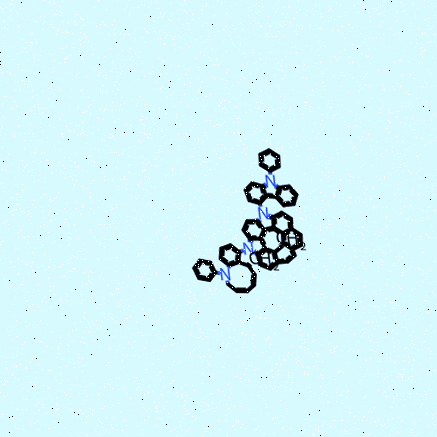 C=Cc1c2ccc3ccc4ccc5c(c4c3)c3c4c1c(cc2)n(-c1cccc2c1C(=C)/C=C\C=C/CN2c1ccccc1)c4ccc3n5-c1cccc2c1c1ccccc1n2-c1ccccc1